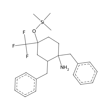 C[Si](C)(C)OC1(C(F)(F)F)CCC(N)(Cc2ccccc2)C(Cc2ccccc2)C1